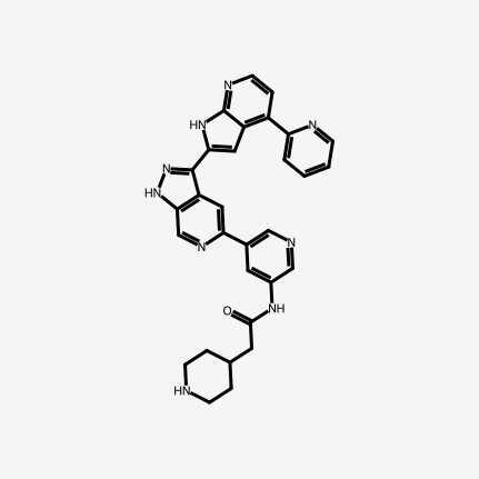 O=C(CC1CCNCC1)Nc1cncc(-c2cc3c(-c4cc5c(-c6ccccn6)ccnc5[nH]4)n[nH]c3cn2)c1